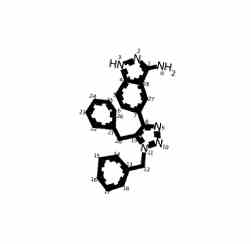 Nc1n[nH]c2ccc(-c3nnn(Cc4ccccc4)c3Cc3ccccc3)cc12